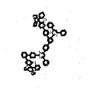 c1ccc(-c2cc(-c3ccc(-c4ccc(-c5nc(-c6ccccc6)cc(-c6ccccc6)n5)c(-c5ccc(-c6ccc7c(c6)Oc6ccccc6C76c7ccccc7-c7ccccc76)cc5)c4)cc3)nc(-c3ccc(-c4ccccc4-c4ccc5c(c4)Oc4ccccc4C54c5ccccc5-c5ccccc54)cc3)n2)cc1